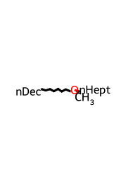 CCCCCCCCCCCCCCCCCCOC(C)CCCCCCC